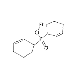 CCOP(=O)(C1C=CCCC1)C1C=CCCC1